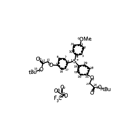 COc1ccc([S+](c2ccc(OCC(=O)OC(C)(C)C)cc2)c2ccc(OCC(=O)OC(C)(C)C)cc2)cc1.O=S(=O)([O-])C(F)(F)F